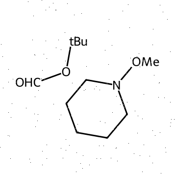 CC(C)(C)OC=O.CON1CCCCC1